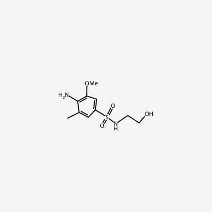 COc1cc(S(=O)(=O)NCCO)cc(C)c1N